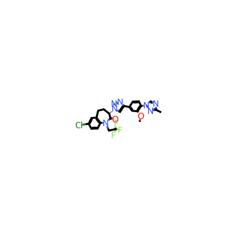 COc1cc(-c2cn([C@H]3CCc4cc(Cl)ccc4N(CC(F)(F)F)C3=O)nn2)ccc1-n1cnc(C)n1